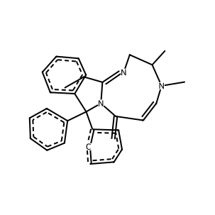 C=C1/C=C\N(C)C(C)C/N=C(\CC)N1C(c1ccccc1)(c1ccccc1)c1ccccc1